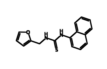 S=C(NCc1ccco1)Nc1cccc2ccccc12